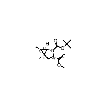 COC(=O)[C@@H]1C[C@@]2(C)[C@@H](C)[C@H]2N1C(=O)OC(C)(C)C